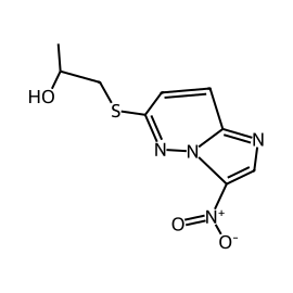 CC(O)CSc1ccc2ncc([N+](=O)[O-])n2n1